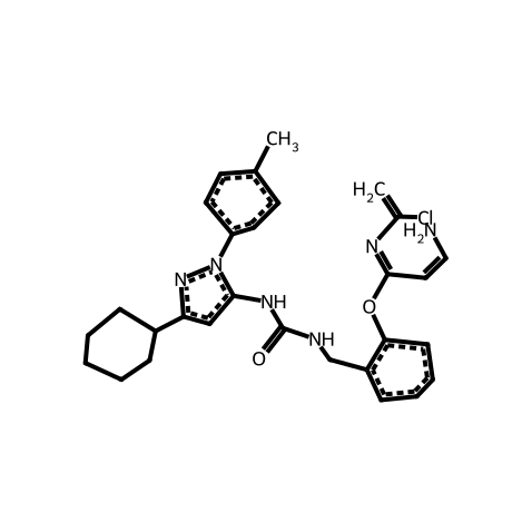 C=C(Cl)/N=C(\C=C/N)Oc1ccccc1CNC(=O)Nc1cc(C2CCCCC2)nn1-c1ccc(C)cc1